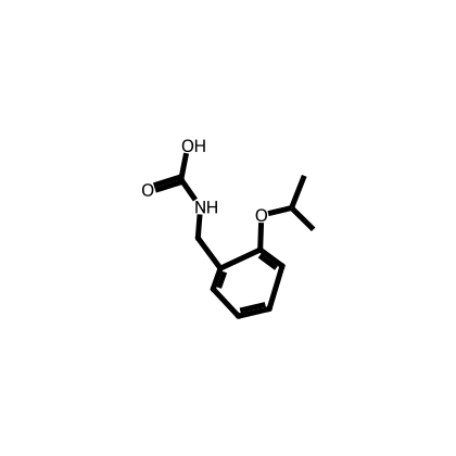 CC(C)Oc1ccccc1CNC(=O)O